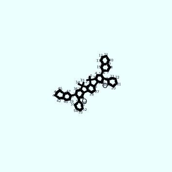 CC1(C)c2cc(-c3ccc4ccccc4c3)c3c(oc4ccccc43)c2-c2ccc3c(c21)C(C)(C)c1cc(-c2ccc4ccccc4c2)c2c(oc4ccccc42)c1-3